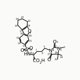 CN1C(=O)N(CCC[C@H](NS(=O)(=O)c2ccc3c4c(oc3c2)CCCC4)C(=O)O)C(=O)C1(C)C